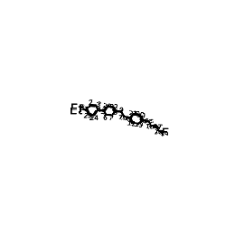 CCc1ccc(-c2ccc(CCC3CCC(C/C=C/CF)CC3)cc2)cc1